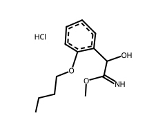 CCCCOc1ccccc1C(O)C(=N)OC.Cl